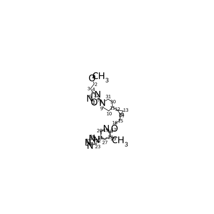 COCCc1noc(N2CCC(C3C[C@H]3CCOc3ncc(-n4cnnn4)cc3C)CC2)n1